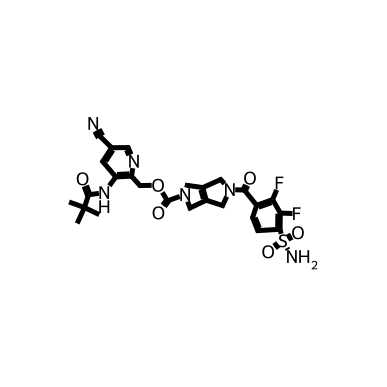 CC(C)(C)C(=O)Nc1cc(C#N)cnc1COC(=O)N1CC2=C(C1)CN(C(=O)c1ccc(S(N)(=O)=O)c(F)c1F)C2